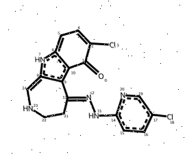 O=C1C(Cl)=CC=c2[nH]c3c(c21)C(=NNc1ccc(Cl)cn1)CCNC=3